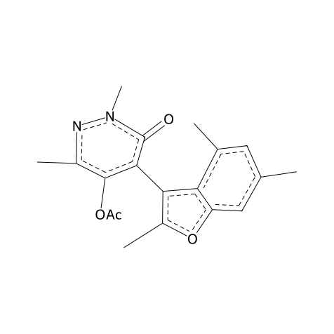 CC(=O)Oc1c(C)nn(C)c(=O)c1-c1c(C)oc2cc(C)cc(C)c12